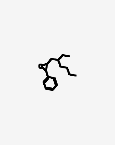 CCCCC(CC)CC1OC1c1ccccc1